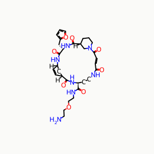 NCCOCCNC(=O)[C@@H]1CCNC(=O)/C=C/C(=O)N2CCC[C@H](C2)C(=O)N[C@@H](Cc2ccco2)C(=O)N[C@H]2C=C[C@H](C2)C(=O)N1